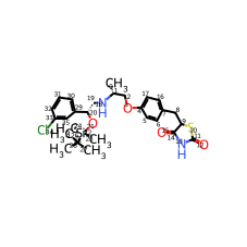 C[C@H](COc1ccc(CC2SC(=O)NC2=O)cc1)NC[C@H](O[Si](C)(C)C(C)(C)C)c1cccc(Cl)c1